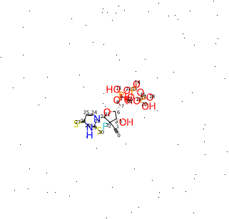 C#CC1(F)[C@@H](O)[C@@H](COP(=O)(O)OP(=O)(O)OP(=O)(O)O)O[C@H]1n1ccc(=S)[nH]c1=S